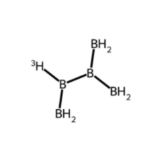 [3H]B(B)B(B)B